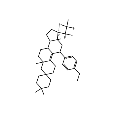 CCc1ccc(C2CC3(C)C(CC[C@@]3(C)C(C)(F)C(C)(F)F)C3CCC4(C)CC5(CCC4=C23)CCC(C)(C)CC5)cc1